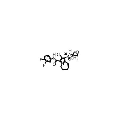 CC1(NS(=O)(=O)c2c(Cl)c(C(=O)Nc3ccc(F)c(F)c3)n3c2C=CCCC3)COC1